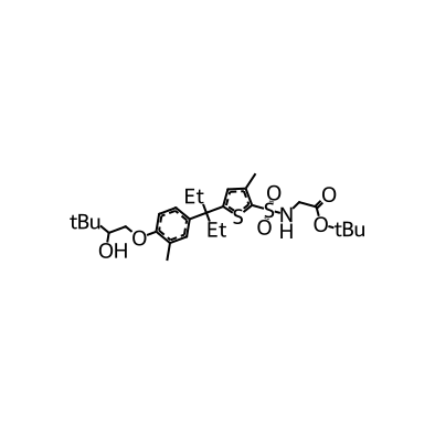 CCC(CC)(c1ccc(OCC(O)C(C)(C)C)c(C)c1)c1cc(C)c(S(=O)(=O)NCC(=O)OC(C)(C)C)s1